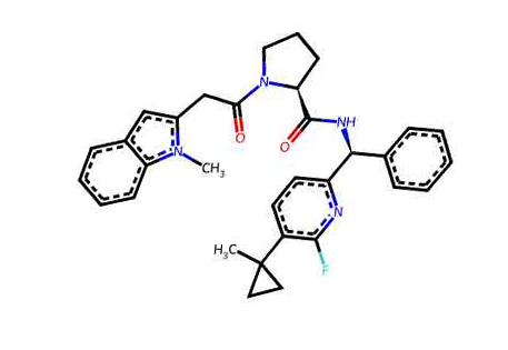 Cn1c(CC(=O)N2CCC[C@H]2C(=O)N[C@@H](c2ccccc2)c2ccc(C3(C)CC3)c(F)n2)cc2ccccc21